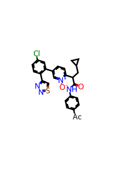 CC(=O)c1ccc(NC(=O)C(CC2CC2)c2ccc(-c3cc(Cl)ccc3-c3csnn3)c[n+]2[O-])cc1